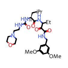 CCC(NC(=O)[C@H](CC(C)C)NC(=O)NCCN1CCOCC1)C(=O)C(=O)NCc1cc(OC)cc(OC)c1